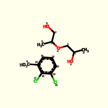 CC(O)COC(C)CO.O=C(O)c1cccc(Cl)c1Cl